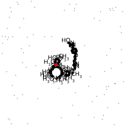 CO[C@]1(C)C[C@H](O[C@H]2[C@H](C)[C@@H](O[C@@H]3O[C@H](C)C[C@H](N(C)CCc4cn(CCCOc5ccc(-n6cc(CO)nn6)cc5)nn4)[C@H]3O)[C@](C)(O)C[C@@H](C)CN(C)[C@H](C)[C@@H](O)[C@](C)(O)[C@@H](I)OC(=O)[C@@H]2C)O[C@@H](C)[C@@H]1O